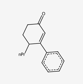 CCCC1CCC(=O)C=C1c1ccccc1